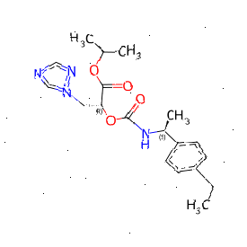 CCc1ccc([C@H](C)NC(=O)O[C@H](Cn2cncn2)C(=O)OC(C)C)cc1